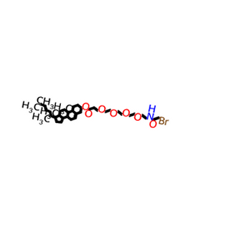 CC(C)CCCC(C)C1CCC2C3CC=C4CC(OC(=O)CCOCCOCCOCCOCCNC(=O)CBr)CCC4(C)C3CCC12C